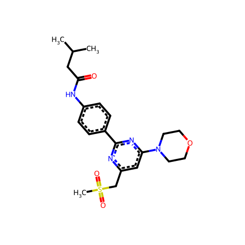 CC(C)CC(=O)Nc1ccc(-c2nc(CS(C)(=O)=O)cc(N3CCOCC3)n2)cc1